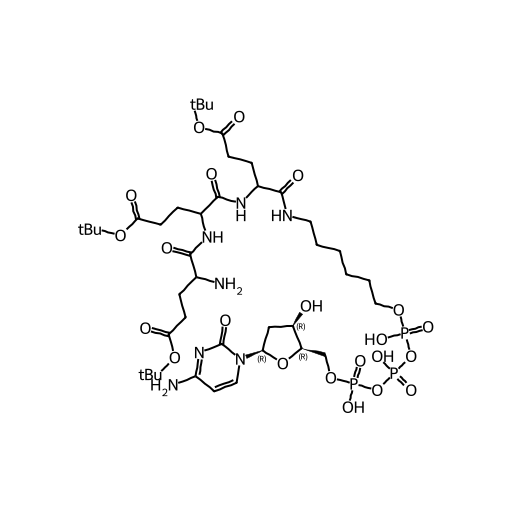 CC(C)(C)OC(=O)CCC(N)C(=O)NC(CCC(=O)OC(C)(C)C)C(=O)NC(CCC(=O)OC(C)(C)C)C(=O)NCCCCCCOP(=O)(O)OP(=O)(O)OP(=O)(O)OC[C@H]1O[C@@H](n2ccc(N)nc2=O)C[C@H]1O